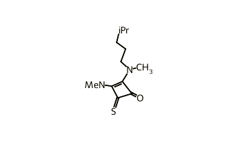 CNc1c(N(C)CCCC(C)C)c(=O)c1=S